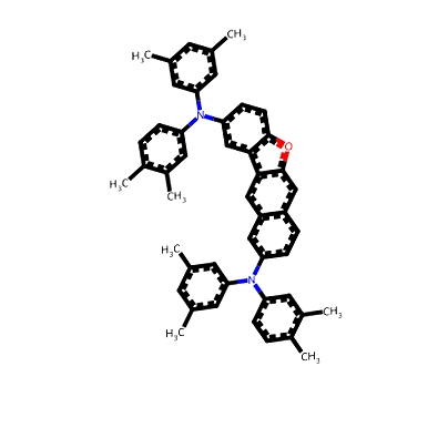 Cc1cc(C)cc(N(c2ccc(C)c(C)c2)c2ccc3cc4oc5ccc(N(c6cc(C)cc(C)c6)c6ccc(C)c(C)c6)cc5c4cc3c2)c1